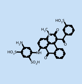 Cn1c(=O)c(C(=O)c2cccc(S(=O)(=O)O)c2)c2c3c(c(Nc4cc(N)c(S(=O)(=O)O)cc4S(=O)(=O)O)ccc31)C(=O)c1ccccc1-2